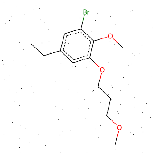 CCc1cc(Br)c(OC)c(OCCCOC)c1